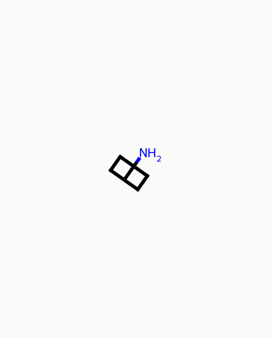 NC12CCC1CC2